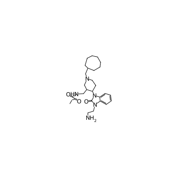 CS(=O)(=O)NCC1CN(CC2CCCCCCC2)CCC1n1c(=O)n(CCN)c2ccccc21